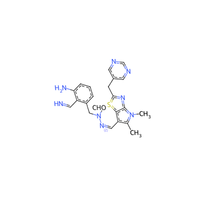 Cc1c(/C=N\N(C=O)Cc2cccc(N)c2C=N)c2sc(Cc3cncnc3)nc2n1C